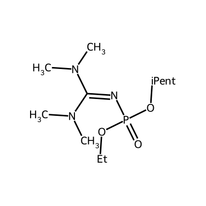 CCCC(C)OP(=O)(N=C(N(C)C)N(C)C)OCC